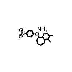 Cc1ccc2c(c1C)C=CC=CC2Oc1ccc([N+](=O)[O-])cc1.N